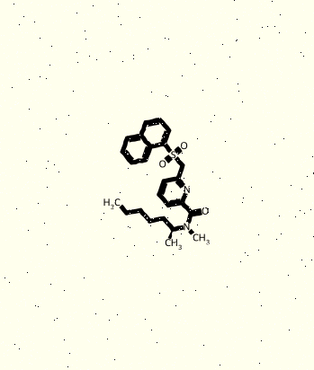 CCCCC[C@H](C)N(C)C(=O)c1cccc(CS(=O)(=O)c2cccc3ccccc23)n1